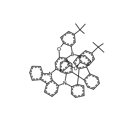 CC(C)(C)c1ccc2c(c1)B1c3cc(C(C)(C)C)ccc3Oc3cc(-n4c5ccccc5c5cccc(N6c7ccccc7C7(c8ccccc8-c8ccccc87)c7ccccc76)c54)cc(c31)O2